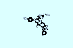 CN1N=C2CCN(C(=O)C(COc3ccc(C#N)cc3)NC(=O)C(C)(C)NC(=O)OC(C)(C)C)C[C@@]2(Cc2ccccc2)C1=O